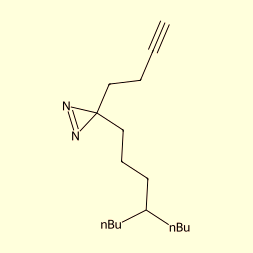 C#CCCC1(CCCC(CCCC)CCCC)N=N1